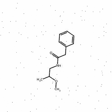 COC(C)CNC(=O)Cc1ccccc1